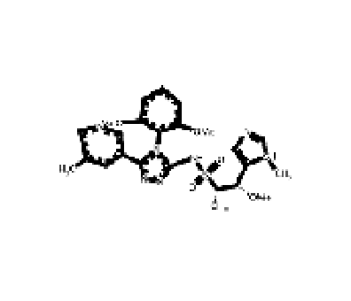 COc1cccc(OC)c1-n1c(NS(=O)(=O)[C@@H](C)[C@@H](OC)C2=CN=C[SH]2C)nnc1-c1cncc(C)c1